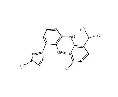 CCC(O)c1cnc(Cl)nc1Nc1cccc(-c2ncn(C)n2)c1OC